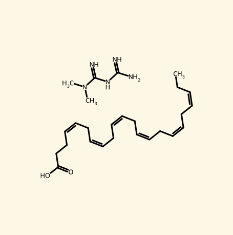 CC/C=C\C/C=C\C/C=C\C/C=C\C/C=C\C/C=C\CCC(=O)O.CN(C)C(=N)NC(=N)N